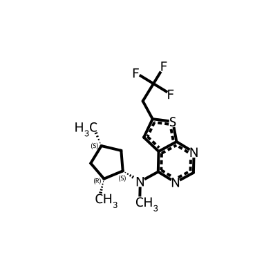 C[C@H]1C[C@@H](C)[C@@H](N(C)c2ncnc3sc(CC(F)(F)F)cc23)C1